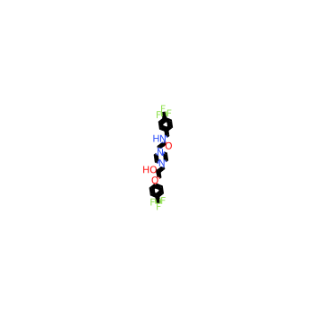 O=C(CN1CCN(C[C@H](O)COc2ccc(C(F)(F)F)cc2)CC1)NCc1ccc(C(F)(F)F)cc1